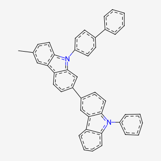 Cc1ccc2c(c1)c1ccc(-c3ccc4c(c3)c3ccccc3n4-c3ccccc3)cc1n2-c1ccc(-c2ccccc2)cc1